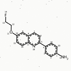 Nc1ccc(-c2ccc3cc(OCCF)ccc3n2)cc1